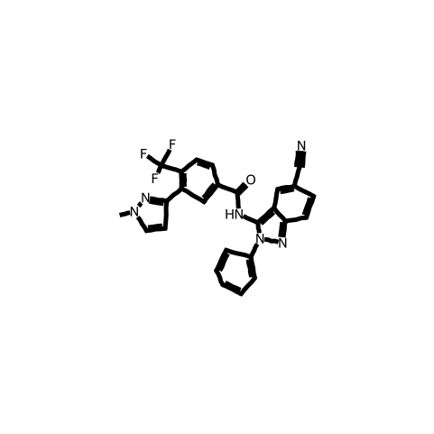 Cn1ccc(-c2cc(C(=O)Nc3c4cc(C#N)ccc4nn3-c3ccccc3)ccc2C(F)(F)F)n1